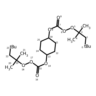 CC(C)(C)CC(C)(C)OOC(=O)OC1CCC(OC(=O)OOC(C)(C)CC(C)(C)C)CC1